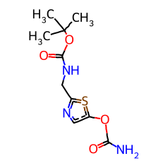 CC(C)(C)OC(=O)NCc1ncc(OC(N)=O)s1